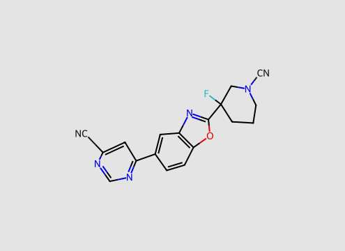 N#Cc1cc(-c2ccc3oc(C4(F)CCCN(C#N)C4)nc3c2)ncn1